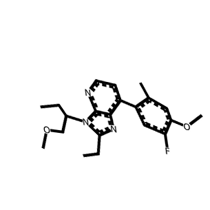 CCc1nc2c(-c3cc(F)c(OC)cc3C)ccnc2n1C(CC)COC